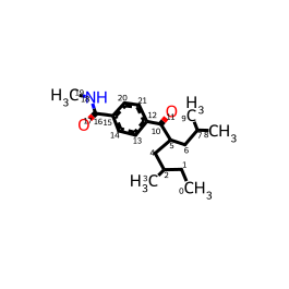 CCC(C)CC(CC(C)C)C(=O)c1ccc(C(=O)NC)cc1